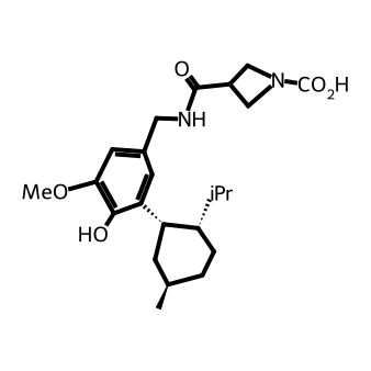 COc1cc(CNC(=O)C2CN(C(=O)O)C2)cc([C@H]2C[C@H](C)CC[C@H]2C(C)C)c1O